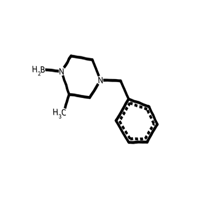 BN1CCN(Cc2ccccc2)CC1C